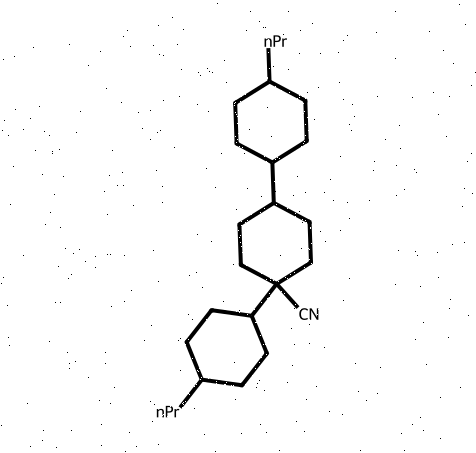 CCCC1CCC(C2CCC(C#N)(C3CCC(CCC)CC3)CC2)CC1